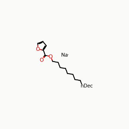 CCCCCCCCCCCCCCCCCCOC(=O)c1ccco1.[Na]